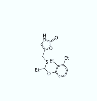 CCc1cccc(OC(CC)SCc2c[nH]c(=O)o2)c1CC